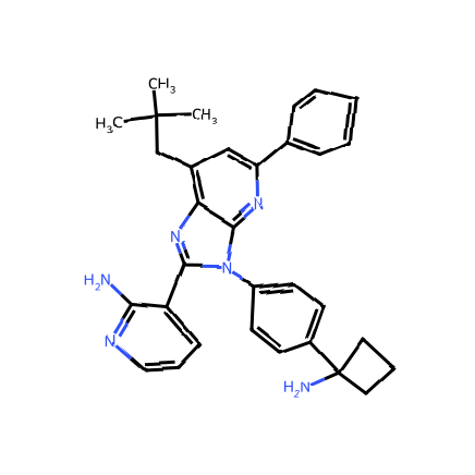 CC(C)(C)Cc1cc(-c2ccccc2)nc2c1nc(-c1cccnc1N)n2-c1ccc(C2(N)CCC2)cc1